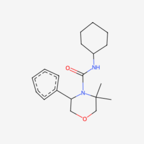 CC1(C)COCC(c2ccccc2)N1C(=O)NC1CCCCC1